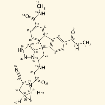 CNC(=O)c1ccc2c(c1)-c1cc(C(=O)NC)ccc1C2(CCNCC(=O)N1C(C#N)C[C@@H]2C[C@@H]21)c1nn[nH]n1